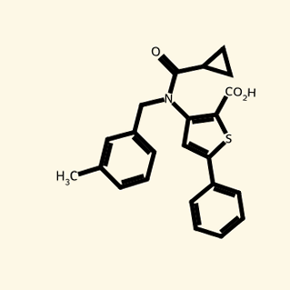 Cc1cccc(CN(C(=O)C2CC2)c2cc(-c3ccccc3)sc2C(=O)O)c1